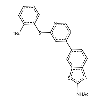 CC(=O)Nc1nc2ccc(-c3ccnc(Sc4ccccc4C(C)(C)C)c3)cc2s1